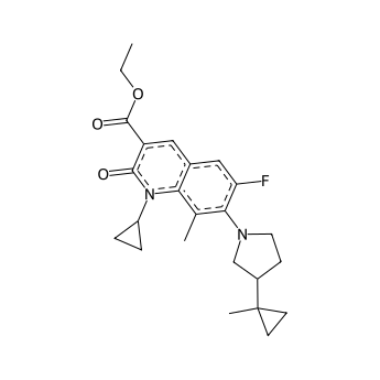 CCOC(=O)c1cc2cc(F)c(N3CCC(C4(C)CC4)C3)c(C)c2n(C2CC2)c1=O